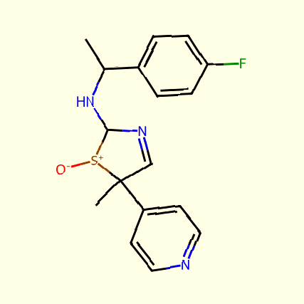 CC(NC1N=CC(C)(c2ccncc2)[S+]1[O-])c1ccc(F)cc1